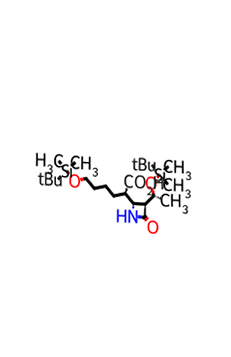 C[C@@H](O[Si](C)(C)C(C)(C)C)[C@H]1C(=O)N[C@@H]1[C@@H](CCCCO[Si](C)(C)C(C)(C)C)C(=O)O